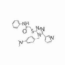 CN(C)c1ccc(Cn2c(SCC(=O)Nc3ccccc3)nnc2-c2cccnc2)cc1